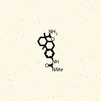 CNC(=O)Nc1ccc2c(c1)CCC1C(C)(C(N)=O)CCCC21C